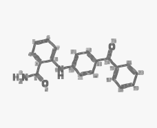 NC(=O)c1ccccc1Nc1ccc(C(=O)c2ccccc2)cc1